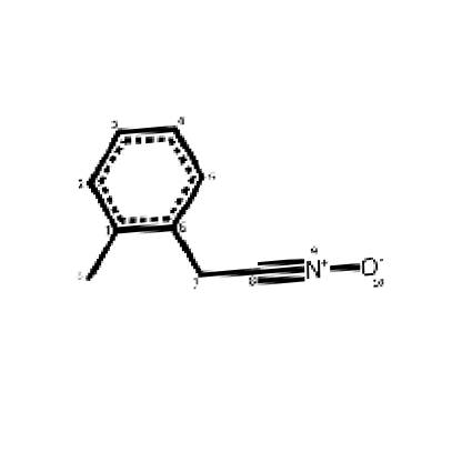 Cc1ccccc1CC#[N+][O-]